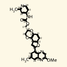 COc1cnc2c(-c3cc4c5c(ccc4o3)O[C@@H](COC(=O)Nc3ccnc(C)c3)CO5)cc(C)cc2n1